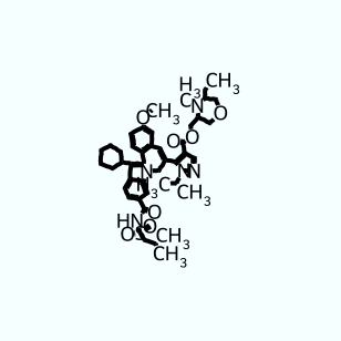 CCC1COCC(COC(=O)c2cnn(C(C)C)c2C2=Cc3cc(OC)ccc3-c3c(C4CCCCC4)c4ccc(C(=O)NS(=O)(=O)CC(C)C)cc4n3C2)N1C